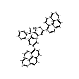 O=P(C1=CC=C(c2ccc3ccc4cccc5ccc2c3c45)CN1)(c1ccccc1)c1ccc(-c2ccc3ccc4cccc5ccc2c3c45)cn1